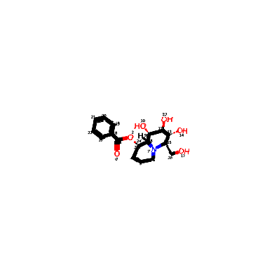 O=C(O[C@H]1CCCN2[C@H]1[C@H](O)[C@@H](O)[C@H](O)[C@H]2CO)c1ccccc1